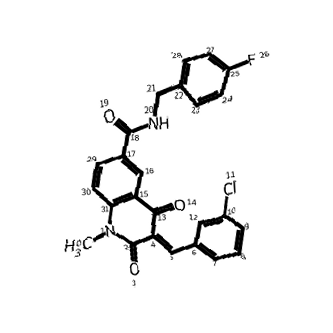 CN1C(=O)/C(=C/c2cccc(Cl)c2)C(=O)c2cc(C(=O)NCc3ccc(F)cc3)ccc21